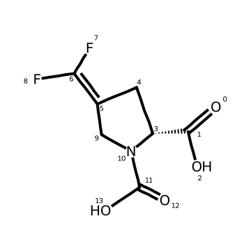 O=C(O)[C@H]1CC(=C(F)F)CN1C(=O)O